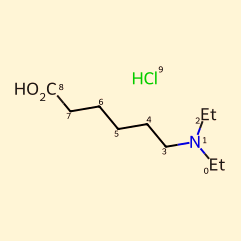 CCN(CC)CCCCCC(=O)O.Cl